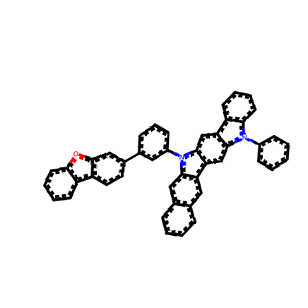 c1ccc(-n2c3ccccc3c3cc4c(cc32)c2cc3ccccc3cc2n4-c2cccc(-c3ccc4c(c3)oc3ccccc34)c2)cc1